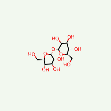 OC[C@H]1O[C@H](O[C@H]2O[C@H](CO)[C@@H](O)[C@H](O)[C@H]2O)[C@@H](O)[C@@H](O)[C@@H]1O